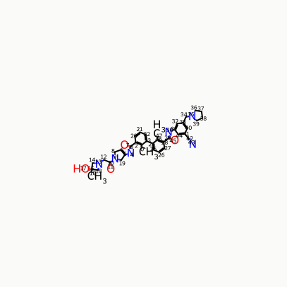 Cc1c(-c2nc3c(o2)CN(C(=O)CN2CC(C)(O)C2)C3)cccc1-c1cccc(-c2nc3cc(CN4CCCC4)cc(C#N)c3o2)c1C